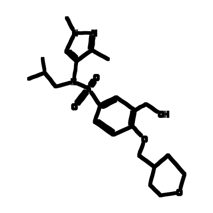 Cc1nn(C)cc1N(CC(C)C)S(=O)(=O)c1ccc(OCC2CCOCC2)c(CO)c1